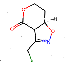 O=C1OCC[C@H]2ON=C(CF)C12